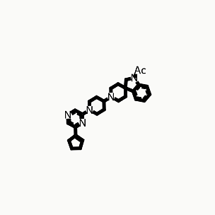 CC(=O)N1CC2(CCN(C3CCN(c4cncc(C5=CCCC5)n4)CC3)CC2)c2ccccc21